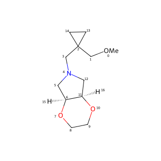 COCC1(CN2C[C@@H]3OCCO[C@@H]3C2)CC1